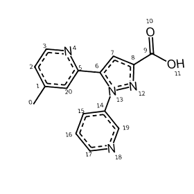 Cc1ccnc(-c2cc(C(=O)O)nn2-c2cccnc2)c1